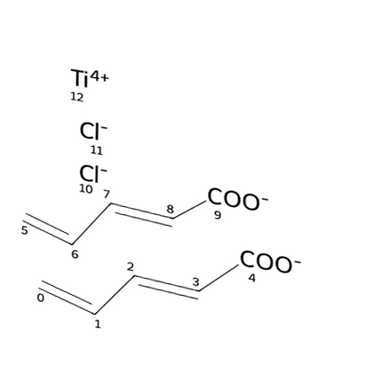 C=CC=CC(=O)[O-].C=CC=CC(=O)[O-].[Cl-].[Cl-].[Ti+4]